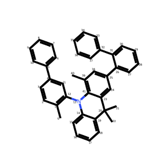 Cc1ccc(-c2ccccc2)cc1N1c2ccccc2C(C)(C)c2cc(-c3ccccc3-c3ccccc3)cc(C)c21